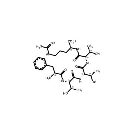 C[C@@H](O)[C@H](NC(=O)[C@@H](NC(=O)[C@@H](NC(=O)[C@@H](N)Cc1ccccc1)[C@@H](C)O)[C@@H](C)O)C(=O)N[C@@H](CCCNC(=N)N)C(=O)O